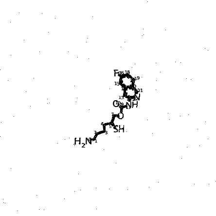 NCCCCC(S)COC(=O)Nc1cc2cc(F)ccc2cn1